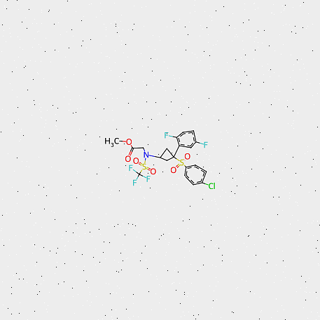 COC(=O)CN(C1CC(c2cc(F)ccc2F)(S(=O)(=O)c2ccc(Cl)cc2)C1)S(=O)(=O)C(F)(F)F